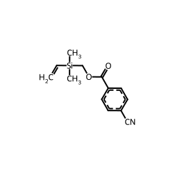 C=C[Si](C)(C)COC(=O)c1ccc(C#N)cc1